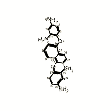 Nc1ccc(Oc2cccc3c(Oc4ccc(N)cc4N)cccc23)c(N)c1